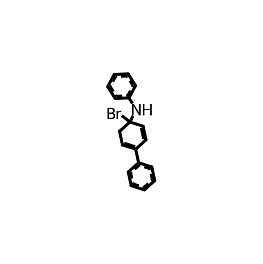 BrC1(Nc2ccccc2)C=CC(c2ccccc2)=CC1